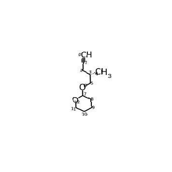 C#CC[C@H](C)COC1CCCCO1